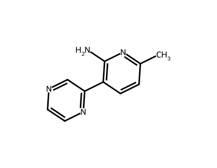 Cc1ccc(-c2cnccn2)c(N)n1